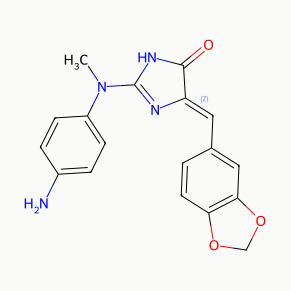 CN(C1=N/C(=C\c2ccc3c(c2)OCO3)C(=O)N1)c1ccc(N)cc1